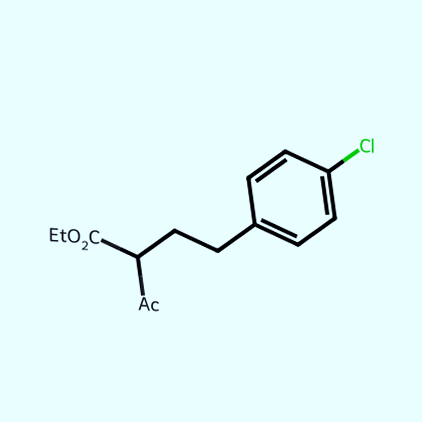 CCOC(=O)C(CCc1ccc(Cl)cc1)C(C)=O